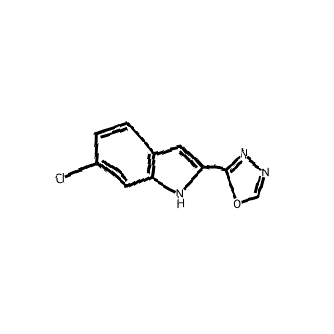 Clc1ccc2cc(-c3nnco3)[nH]c2c1